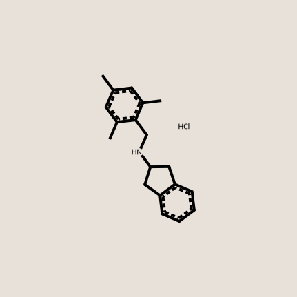 Cc1cc(C)c(CNC2Cc3ccccc3C2)c(C)c1.Cl